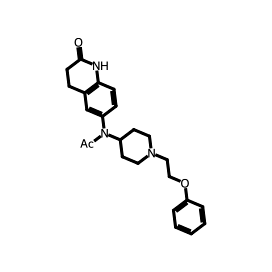 CC(=O)N(c1ccc2c(c1)CCC(=O)N2)C1CCN(CCOc2ccccc2)CC1